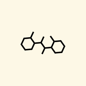 CC1CCCCC1C(C)C(C)C1CCCCC1C